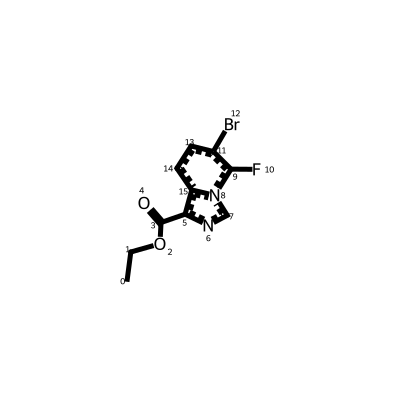 CCOC(=O)c1ncn2c(F)c(Br)ccc12